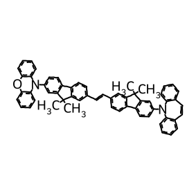 CC1(C)c2cc(/C=C/c3ccc4c(c3)C(C)(C)c3cc(N5c6ccccc6Oc6ccccc65)ccc3-4)ccc2-c2ccc(N3c4ccccc4C=Cc4ccccc43)cc21